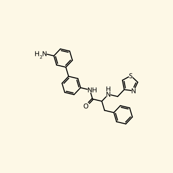 Nc1cccc(-c2cccc(NC(=O)C(Cc3ccccc3)NCc3cscn3)c2)c1